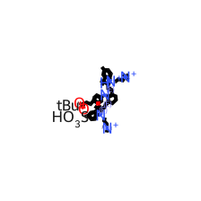 Cc1ccc2c(c1)C(C)(C)C(/C=C/C1=C(Nc3ccc(CCC(=O)OC(C)(C)C)cc3)C(=C/C=C3/N(CCC[N+](C)(C)C)c4ccc(S(=O)(=O)O)cc4C3(C)C)/CCC1)=[N+]2CCC[N+](C)(C)C